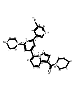 O=C(c1cnn2c(-c3cc(-c4cncc(F)c4)nc(N4CCOCC4)c3)cccc12)N1CCCCC1